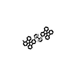 Cc1cccc2c1-c1ccccc1C21c2ccccc2-c2ccc(-n3ccnc3-c3nccn3-c3ccc4c(c3)C3(c5ccccc5-c5ccccc53)c3ccccc3-4)cc21